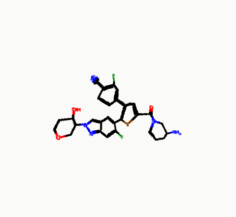 N#Cc1ccc(-c2cc(C(=O)N3CCCC(N)C3)sc2-c2cc3cn(C4COCCC4O)nc3cc2F)cc1F